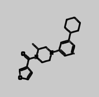 CC1CN(c2c[c]cc(C3CCCCC3)c2)CCN1C(=O)c1ccoc1